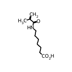 C=C(C)C(=O)NCCCCCCC(=O)O